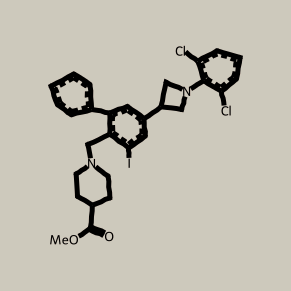 COC(=O)C1CCN(Cc2c(I)cc(C3CN(c4c(Cl)cccc4Cl)C3)cc2-c2ccccc2)CC1